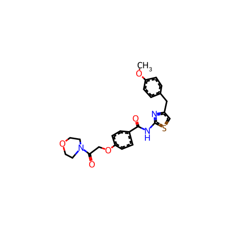 COc1ccc(Cc2csc(NC(=O)c3ccc(OCC(=O)N4CCOCC4)cc3)n2)cc1